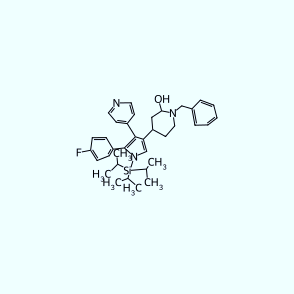 CC(C)[Si](C(C)C)(C(C)C)n1cc(C2CCN(Cc3ccccc3)C(O)C2)c(-c2ccncc2)c1-c1ccc(F)cc1